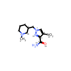 CN1CCCC(Cn2cc([N+](=O)[O-])c(C(N)=O)n2)C1